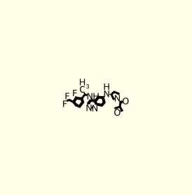 C[C@@H](Nc1cnnc2ccc(N[C@@H]3CCN(C(=O)C4COC4)C3)cc12)c1cccc(C(F)F)c1F